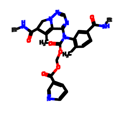 CCNC(=O)c1ccc(C)c(N(C(=O)OCOC(=O)c2cccnc2)C2=NC=NN3CC(C(=O)NCC)C(C)=C23)c1